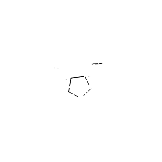 CO[C@H]1COC[C@H]1CO